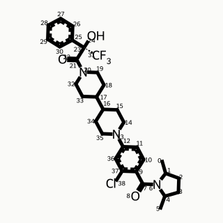 CC1CCC(C)N1C(=O)c1ccc(N2CCC(C3CCN(C(=O)[C@](O)(c4ccccc4)C(F)(F)F)CC3)CC2)cc1Cl